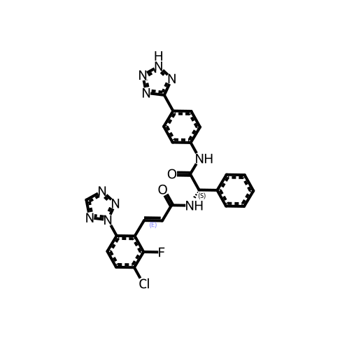 O=C(/C=C/c1c(-n2ncnn2)ccc(Cl)c1F)N[C@H](C(=O)Nc1ccc(-c2nn[nH]n2)cc1)c1ccccc1